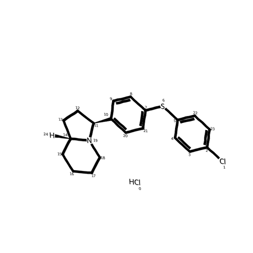 Cl.Clc1ccc(Sc2ccc([C@@H]3CC[C@H]4CCCCN43)cc2)cc1